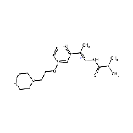 C/C(=N\NC(=S)N(C)C)c1cc(OCCN2CCOCC2)ccn1